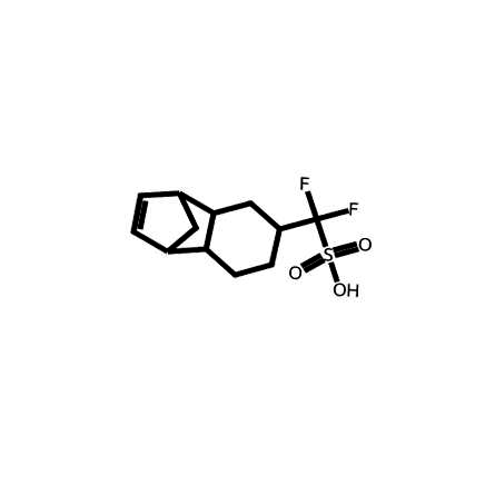 O=S(=O)(O)C(F)(F)C1CCC2C3C=CC(C3)C2C1